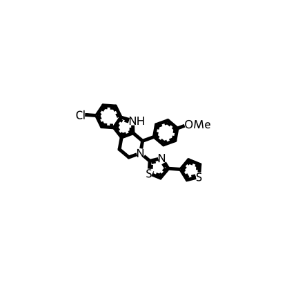 COc1ccc(C2c3[nH]c4ccc(Cl)cc4c3CCN2c2nc(-c3ccsc3)cs2)cc1